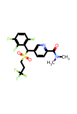 CN(C)C(=O)c1ccc(C(c2c(F)ccc(F)c2F)S(=O)(=O)CCC(F)(F)F)cn1